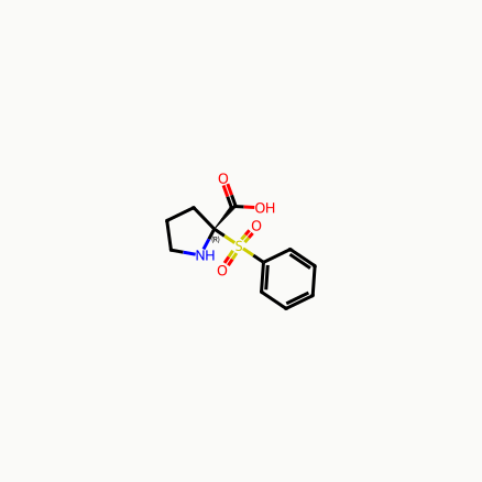 O=C(O)[C@]1(S(=O)(=O)c2ccccc2)CCCN1